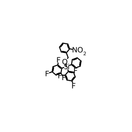 O=[N+]([O-])c1ccccc1CO[Si](c1ccccc1)(c1c(F)cc(F)cc1F)c1c(F)cc(F)cc1F